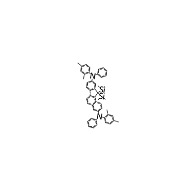 Cc1ccc(N(c2ccccc2)c2ccc3c(c2)C([Si](C)(C)C)([Si](C)(C)C)c2c-3ccc3cc(N(c4ccccc4)c4ccc(C)cc4C)ccc23)c(C)c1